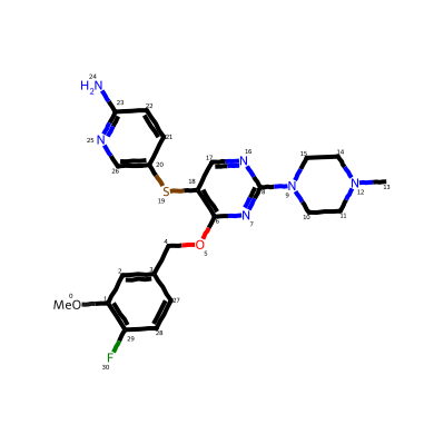 COc1cc(COc2nc(N3CCN(C)CC3)ncc2Sc2ccc(N)nc2)ccc1F